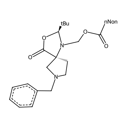 CCCCCCCCCC(=O)OCN1[C@H](C(C)(C)C)OC(=O)[C@@]12CCN(Cc1ccccc1)C2